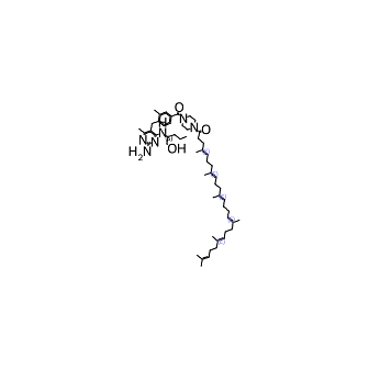 CCC[C@@H](CO)Nc1nc(N)nc(C)c1Cc1ccc(C(=O)N2CCN(C(=O)CC/C(C)=C/CC/C(C)=C/CC/C(C)=C/CC/C=C(\C)CC/C=C(\C)CCC=C(C)C)CC2)cc1C